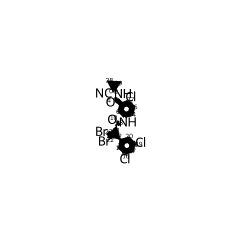 N#CC1(NC(=O)c2cc(NC(=O)[C@@H]3[C@@H](c4cc(Cl)cc(Cl)c4)C3(Br)Br)ccc2Cl)CC1